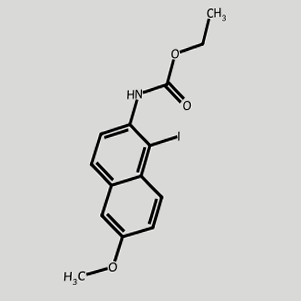 CCOC(=O)Nc1ccc2cc(OC)ccc2c1I